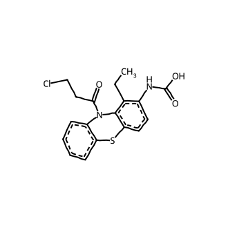 CCc1c(NC(=O)O)ccc2c1N(C(=O)CCCl)c1ccccc1S2